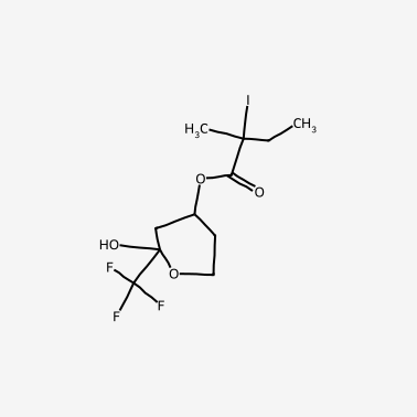 CCC(C)(I)C(=O)OC1CCOC(O)(C(F)(F)F)C1